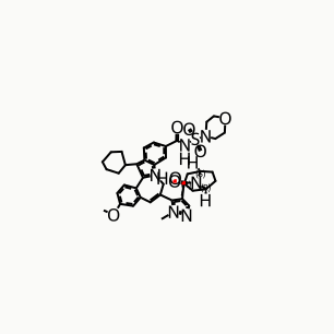 COc1ccc2c(c1)C=C(c1c(C(=O)N3[C@@H]4CC[C@H]3C[C@@](C)(O)C4)cnn1C)Cn1c-2c(C2CCCCC2)c2ccc(C(=O)NS(=O)(=O)N3CCOCC3)cc21